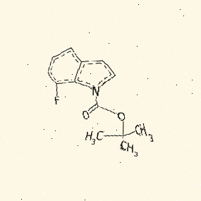 CC(C)(C)OC(=O)n1ccc2cccc(F)c21